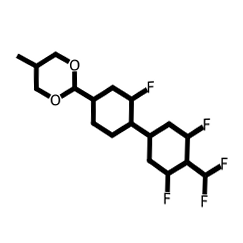 CC1COC(C2CCC(C3CC(F)C(C(F)F)C(F)C3)C(F)C2)OC1